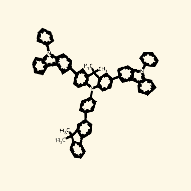 CC1(C)c2ccccc2-c2ccc(-c3ccc(N4c5ccc(-c6ccc7c(c6)c6ccccc6n7-c6ccccc6)cc5C(C)(C)c5cc(-c6ccc7c(c6)c6ccccc6n7-c6ccccc6)ccc54)cc3)cc21